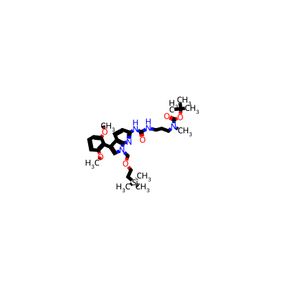 COc1cccc(OC)c1-c1cn(COCC[Si](C)(C)C)c2nc(NC(=O)NCCCN(C)C(=O)OC(C)(C)C)ccc12